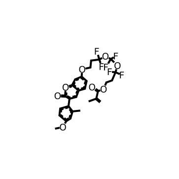 C=C(C)C(=O)OCCC(F)(F)OC(F)(F)OC(F)(F)CCOc1ccc2cc(-c3ccc(OC)cc3C)c(=O)oc2c1